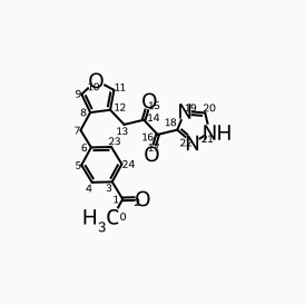 CC(=O)c1ccc(Cc2cocc2CC(=O)C(=O)c2nc[nH]n2)cc1